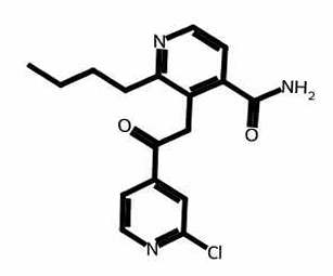 CCCCc1nccc(C(N)=O)c1CC(=O)c1ccnc(Cl)c1